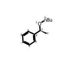 CCCCO[C@@H](C)c1ccccc1